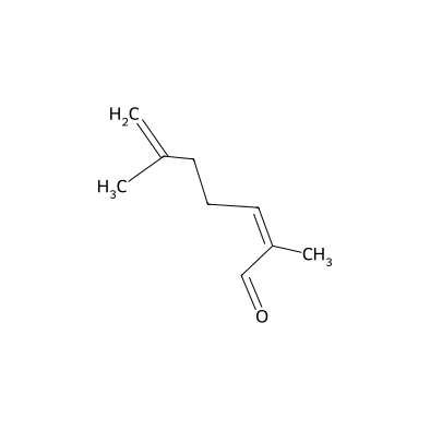 C=C(C)CCC=C(C)C=O